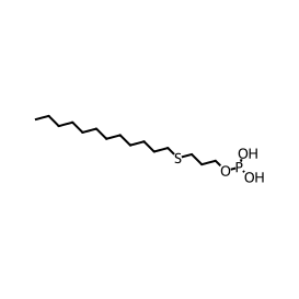 CCCCCCCCCCCCSCCCOP(O)O